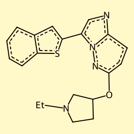 CCN1CCC(Oc2ccc3ncc(-c4cc5ccccc5s4)n3n2)C1